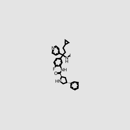 O=C(Nc1cc(C(CCC2CC2)(NI)c2ccncc2)ccc1F)[C@H]1C[C@H](c2ccccc2)CN1